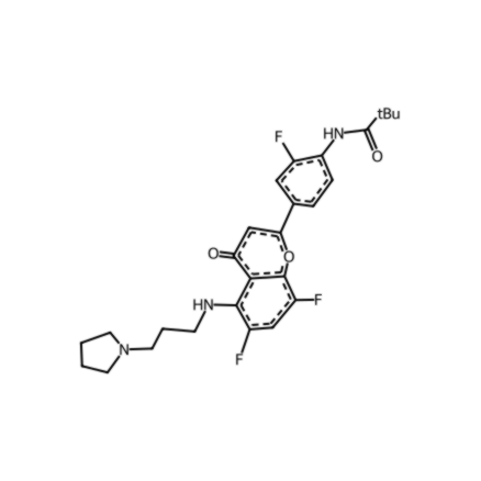 CC(C)(C)C(=O)Nc1ccc(-c2cc(=O)c3c(NCCCN4CCCC4)c(F)cc(F)c3o2)cc1F